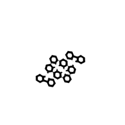 c1ccc(S2(c3cccc(-n4c5ccccc5c5ccccc54)c3)c3ccccc3S(c3ccccc3)(c3cccc(-n4c5ccccc5c5ccccc54)c3)c3ccccc32)cc1